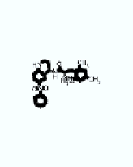 Cc1cc(C)c(C[C@H](N)C(=O)N[C@@H]2CCNc3ccc(S(=O)(=O)c4ccccc4)cc32)c(C)c1